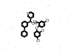 Clc1ccc(Oc2ccc(Cl)cc2Cl)c(Cl)c1.OC(c1cccnc1)c1cccc(-c2ccccc2)c1